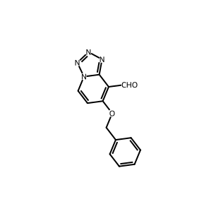 O=Cc1c(OCc2ccccc2)ccn2nnnc12